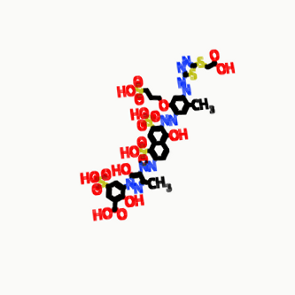 Cc1cc(N=Nc2c(S(=O)(=O)O)cc3c(S(=O)(=O)O)c(N=Nc4c(C)nn(-c5cc(S(=O)(=O)O)cc(C(=O)O)c5O)c4O)ccc3c2O)c(OCCCS(=O)(=O)O)cc1N=Nc1nnc(SCC(=O)O)s1